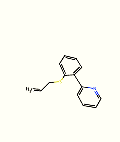 C=CCSc1ccccc1-c1ccccn1